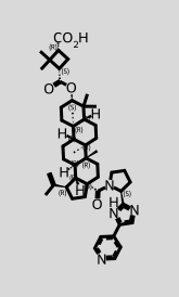 C=C(C)[C@@H]1CC[C@]2(C(=O)N3CCC[C@H]3c3ncc(-c4ccncc4)[nH]3)CC[C@]3(C)[C@H](CC[C@@H]4[C@@]5(C)CC[C@H](OC(=O)[C@H]6C[C@@H](C(=O)O)C6(C)C)C(C)(C)[C@@H]5CC[C@]43C)[C@@H]12